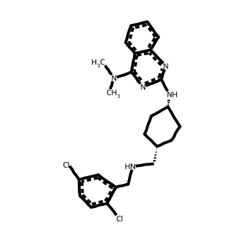 CN(C)c1nc(N[C@H]2CC[C@@H](CNCc3cc(Cl)ccc3Cl)CC2)nc2ccccc12